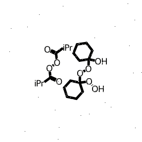 CC(C)C(=O)OOC(=O)C(C)C.OOC1(OOC2(O)CCCCC2)CCCCC1